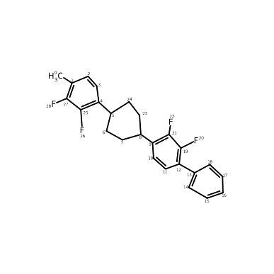 Cc1ccc(C2CCC(c3ccc(-c4ccccc4)c(F)c3F)CC2)c(F)c1F